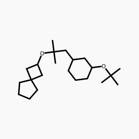 CC(C)(C)OC1CCCC(CC(C)(C)OC2CC3(CCCC3)C2)C1